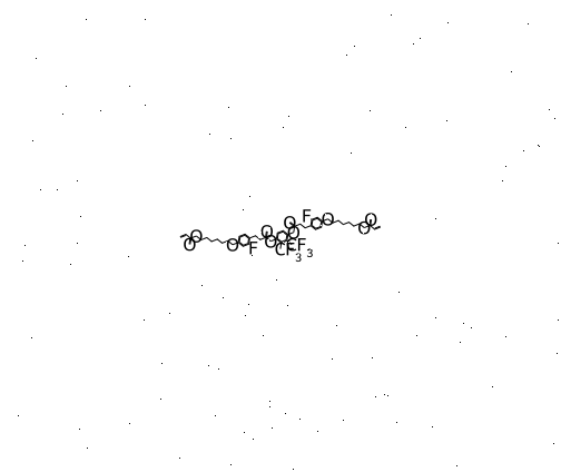 C=CC(=O)OCCCCCCOc1ccc(CCC(=O)Oc2ccc(OC(=O)CCc3ccc(OCCCCCCOC(=O)C=C)cc3F)c(C(F)(F)F)c2C(F)(F)F)c(F)c1